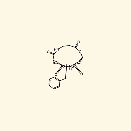 O=C1CC2/C=C/CCSSCC(NC(=O)C(Cc3ccccc3)N1)C(=O)NCCC(=O)O2